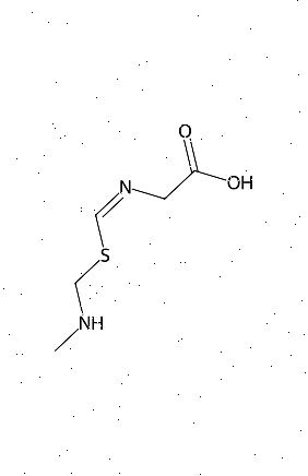 CNCS/C=N\CC(=O)O